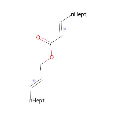 CCCCCCC/C=C/COC(=O)/C=C/CCCCCCC